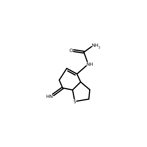 N=C1CC=C(NC(N)=O)C2CCSC12